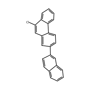 Clc1cc2cc(-c3ccc4ccccc4c3)ccc2c2ccccc12